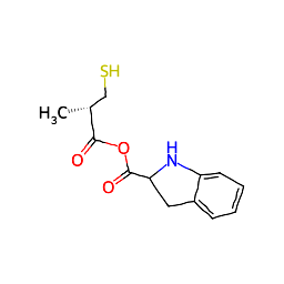 C[C@H](CS)C(=O)OC(=O)C1Cc2ccccc2N1